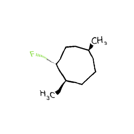 C[C@H]1CC[C@@H](C)[C@H](F)C1